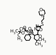 CC(C)CC(C(=O)c1nnc(SCCN2CCOCC2)o1)N(C=O)C1(NC(=O)OC(C)(C)C)CCCCC1